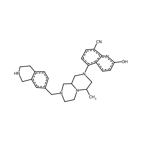 CC1CN(c2ccc(C#N)c3nc(O)ccc23)CC2CN(Cc3ccc4c(c3)CNCC4)CCN12